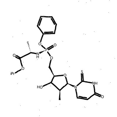 CC(C)OC(=O)[C@H](C)N[P@@](=O)(OC[C@H]1O[C@@H](n2ccc(=O)[nH]c2=S)[C@@H](C)C1O)Oc1ccccc1